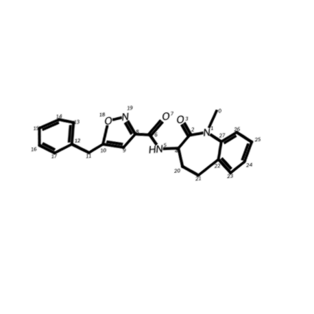 CN1C(=O)C(NC(=O)c2cc(Cc3ccccc3)on2)CCc2ccccc21